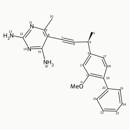 COc1cc([C@H](C)C#Cc2c(C)nc(N)nc2N)ccc1-c1ccccc1